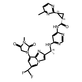 Cc1ccnc([C@H]2C[C@@H]2C(=O)Nc2cc(N[C@H](C)c3cn4cc(C(F)F)cc(N5CC(=O)N(C)C5=O)c4n3)ncn2)n1